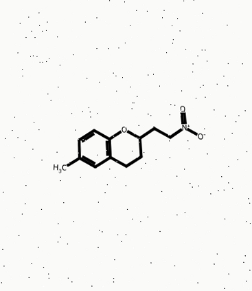 Cc1ccc2c(c1)CCC(CC[N+](=O)[O-])O2